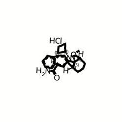 CO[C@]1(c2ccnc(C(N)=O)c2)[C@@H]2CCC[C@H]1CN([C@@H]1CC[C@H]1c1ccccc1)C2.Cl